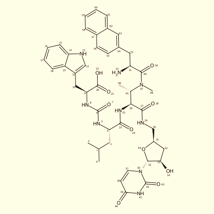 CC(C)C[C@H](NC(=O)N[C@@H](Cc1c[nH]c2ccccc12)C(=O)O)C(=O)N[C@H](C(=O)NC[C@H]1C[C@@H](O)[C@H](n2ccc(=O)[nH]c2=O)O1)[C@H](C)N(C)C(=O)[C@@H](N)Cc1ccc2ccccc2c1